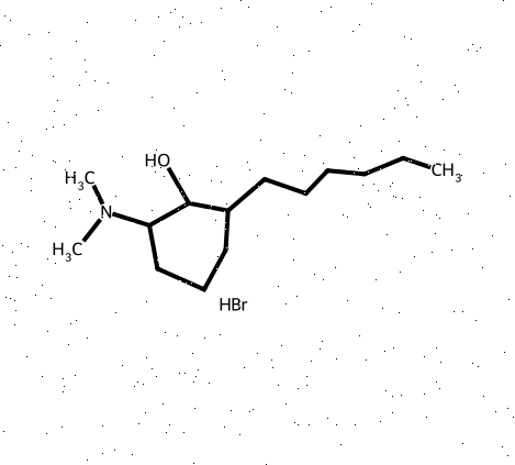 Br.CCCCCCC1CCCC(N(C)C)C1O